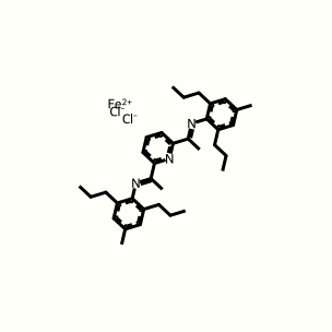 CCCc1cc(C)cc(CCC)c1N=C(C)c1cccc(C(C)=Nc2c(CCC)cc(C)cc2CCC)n1.[Cl-].[Cl-].[Fe+2]